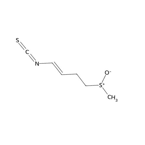 C[S+]([O-])CC/C=C/N=C=S